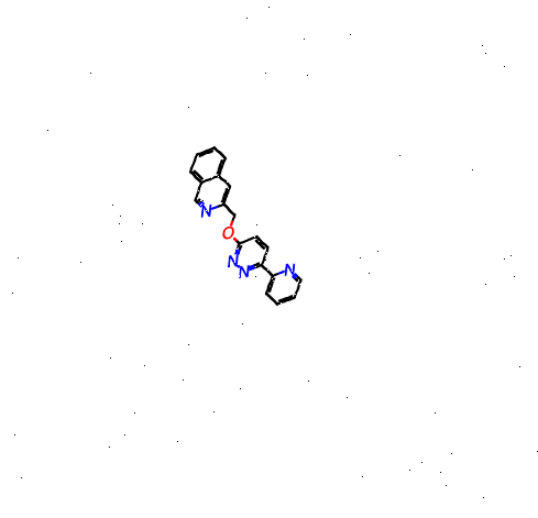 c1ccc(-c2ccc(OCc3cc4ccccc4cn3)nn2)nc1